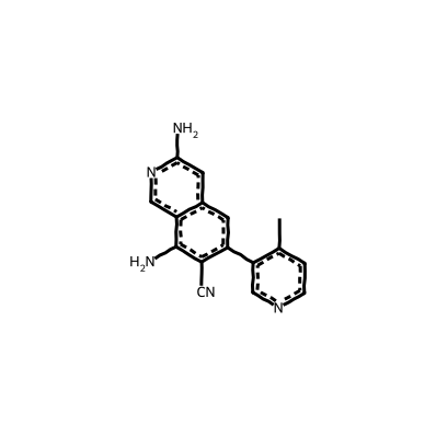 Cc1ccncc1-c1cc2cc(N)ncc2c(N)c1C#N